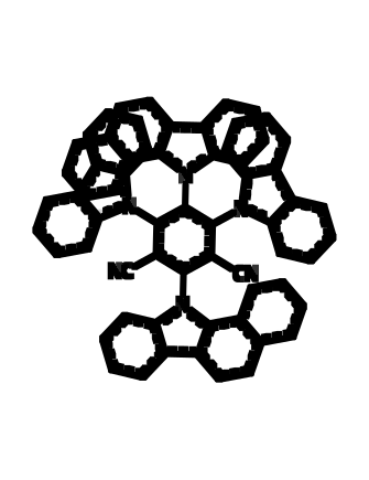 N#Cc1c(-n2c3ccccc3c3ccccc32)c(-n2c3ccccc3c3ccc4ccccc4c32)c(-n2c3ccccc3c3ccccc32)c(C#N)c1-n1c2ccccc2c2ccc3ccccc3c21